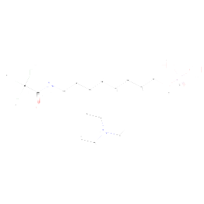 CCN(CC)CC.O=C(NCCCCCCCCOP(=O)(O)O)C(F)(F)F